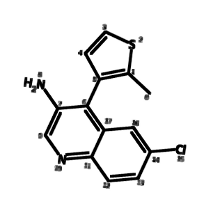 Cc1sccc1-c1c(N)cnc2ccc(Cl)cc12